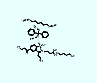 CCCC(O)O.O=C(CCO)c1ccc(S(=O)(=O)O)c(C(=O)CCO)c1.O=C=NC(N=C=O)(c1ccccc1)c1ccccc1.O=C=NCCCCCCN=C=O.OCCCCO